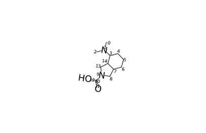 CN(C)C1CCCC2CN(C(=O)O)CC21